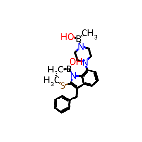 CSc1c(Cc2ccccc2)c2cccc(N3CCN(B(C)O)CC3)c2n1B(C)O